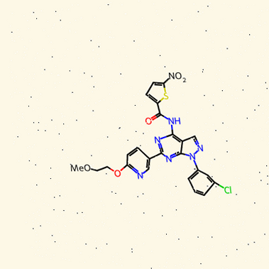 COCCOc1ccc(-c2nc(NC(=O)c3ccc([N+](=O)[O-])s3)c3cnn(-c4cccc(Cl)c4)c3n2)cn1